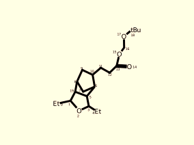 CCC1OC(CC)C2C3CC(CC3CCC(=O)OCOC(C)(C)C)C12